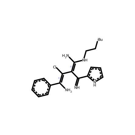 CCC(C)CCN/C(N)=C(C(=N)c1ccc[nH]1)/C(Cl)=C(\N)c1ccccc1